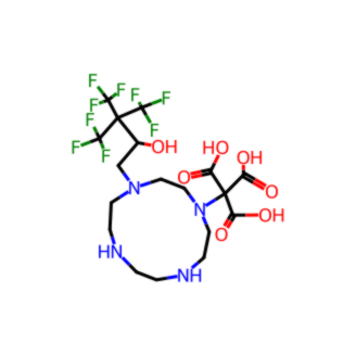 O=C(O)C(C(=O)O)(C(=O)O)N1CCNCCNCCN(CC(O)C(C(F)(F)F)(C(F)(F)F)C(F)(F)F)CC1